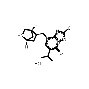 CC(C)c1cn(C[C@H]2C[C@H]3C[C@@H]2CN3)c2nc(Cl)nn2c1=O.Cl